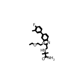 CCOCCn1c(CNC(C)(C)C(N)=O)nc2ccc(-c3ccc(F)c(C)c3)cc21